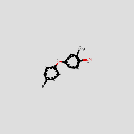 N#Cc1ccc(Oc2ccc(O)c(C(=O)O)c2)cc1